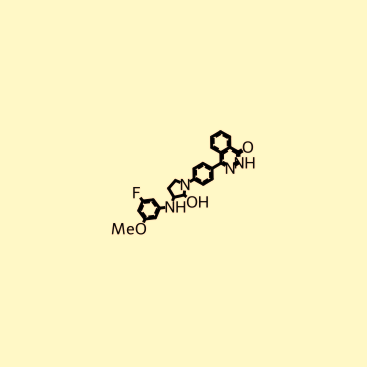 COc1cc(F)cc(NC2CCN(c3ccc(-c4n[nH]c(=O)c5ccccc45)cc3)C2O)c1